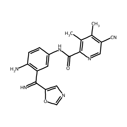 Cc1c(C#N)cnc(C(=O)Nc2ccc(N)c(C(=N)c3cnco3)c2)c1C